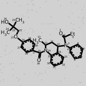 CCC(=O)N(c1ccccc1)C1CC(C)N(C(=O)c2ccc(OCC(C)(C)O)cc2)c2ccccc21